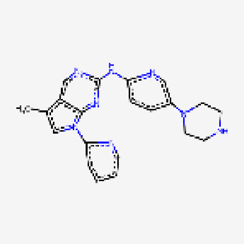 Cc1cn(-c2ccccn2)c2nc(Nc3ccc(N4CCNCC4)cn3)ncc12